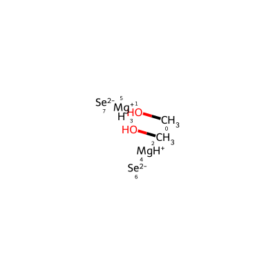 CO.CO.[MgH+].[MgH+].[Se-2].[Se-2]